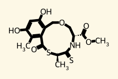 COC(=O)[C@H]1COCc2c(O)cc(O)c(C)c2C(=O)S[C@H](C)C(=S)N1